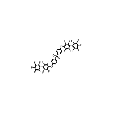 O=S(=O)(c1ccc(Oc2c(F)c(F)c(-c3c(F)c(F)c(F)c(F)c3F)c(F)c2F)cc1)c1ccc(Oc2c(F)c(F)c(-c3c(F)c(F)c(F)c(F)c3F)c(F)c2F)cc1